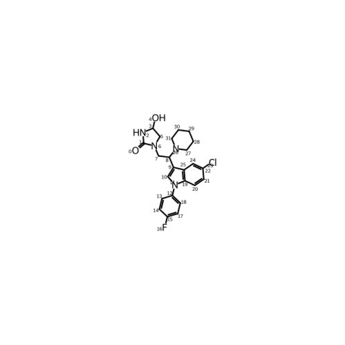 O=C1NC(O)CN1CC(c1cn(-c2ccc(F)cc2)c2ccc(Cl)cc12)N1CCCCC1